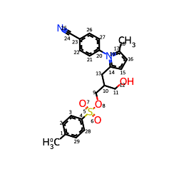 Cc1ccc(S(=O)(=O)OCC(CO)Cc2ccc(C)n2-c2ccc(C#N)cc2)cc1